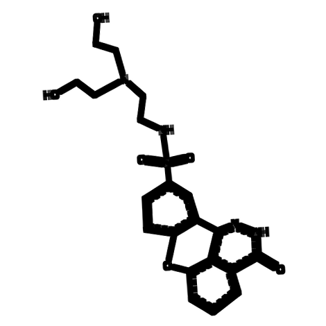 O=c1[nH]nc2c3c(cccc13)Oc1ccc(S(=O)(=O)NCCN(CCO)CCO)cc1-2